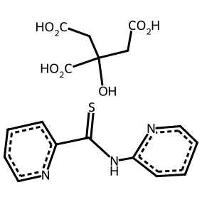 O=C(O)CC(O)(CC(=O)O)C(=O)O.S=C(Nc1ccccn1)c1ccccn1